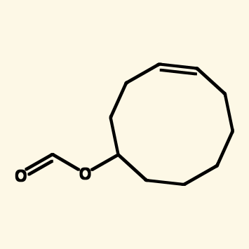 O=COC1CCC=CCCCCC1